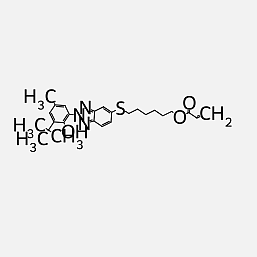 C=CC(=O)OCCCCCCSc1ccc2nn(-c3cc(C)cc(C(C)(C)C)c3O)nc2c1